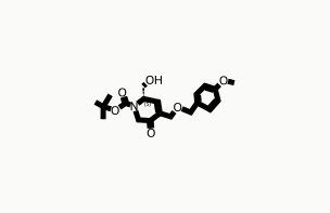 COc1ccc(COCC2=C[C@@H](CO)N(C(=O)OC(C)(C)C)CC2=O)cc1